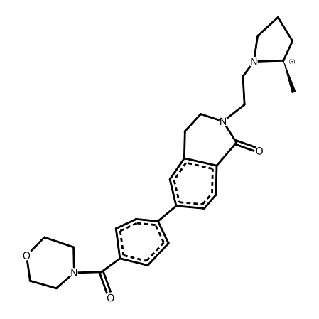 C[C@@H]1CCCN1CCN1CCc2cc(-c3ccc(C(=O)N4CCOCC4)cc3)ccc2C1=O